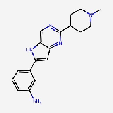 CN1CCC(c2ncc3[nH]c(-c4cccc(N)c4)cc3n2)CC1